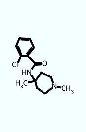 CN1CCC(C)(NC(=O)c2ccccc2Cl)CC1